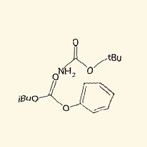 CC(C)(C)OC(N)=O.CC(C)COC(=O)Oc1ccccc1